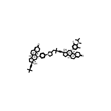 CC(C)N(C)c1c(F)cc([C@H]2C[C@@]3(C)[C@@H](CC[C@@]3(O)C#CC(C)(C)CC3CCN(c4ccc([C@H]5C[C@@]6(C)[C@@H](CC[C@@]6(O)C#CC(C)(C)C)[C@@H]6CCC7=CC(=O)CC[C@]7(C)[C@H]65)cc4)C3)[C@@H]3CCC4=CC(=O)CC[C@@H]4[C@H]32)cc1F